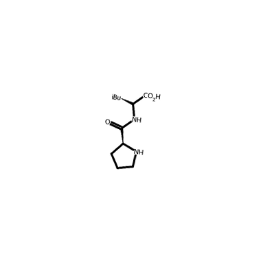 CC[C@H](C)C(NC(=O)[C@@H]1CCCN1)C(=O)O